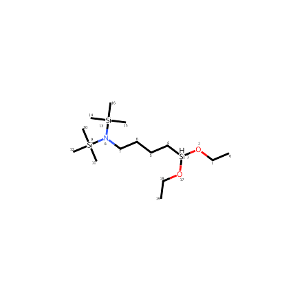 CCO[SiH](CCCCN([Si](C)(C)C)[Si](C)(C)C)OCC